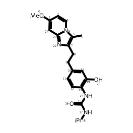 COc1ccn2c(C)c(CCc3ccc(NC(=O)NC(C)C)c(O)c3)nc2c1